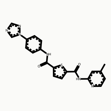 Cc1ccnc(NC(=O)c2ccc(C(=O)Nc3ccc(-n4cncn4)cc3)s2)c1